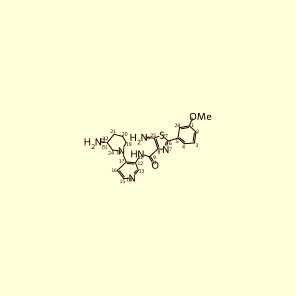 COc1cccc(-c2nc(C(=O)Nc3cnccc3N3CCC[C@H](N)C3)c(N)s2)c1